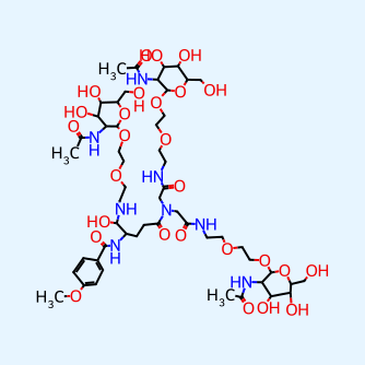 COc1ccc(C(=O)NC(CCC(=O)N(CC(=O)NCCOCCOC2OC(CO)C(O)C(O)C2NC(C)=O)CC(=O)NCCOCCOC2OC(CO)C(O)C(O)C2NC(C)=O)C(O)NCCOCCOC2OC(CO)C(O)C(O)C2NC(C)=O)cc1